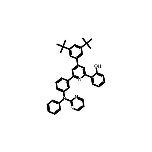 CC(C)(C)c1cc(-c2cc(-c3cccc(N(c4ccccc4)c4ncccn4)c3)nc(-c3ccccc3O)c2)cc(C(C)(C)C)c1